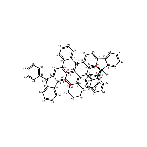 CC1(c2ccccc2)c2ccccc2-c2ccc(N(c3ccccc3-c3ccc4c5ccccc5n(-c5ccccc5)c4c3)c3ccccc3-c3cccc4cccc(C5CCCCC5)c34)cc21